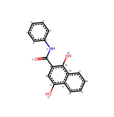 O=C(Nc1ccccc1)c1cc(O)c2ccccc2c1O